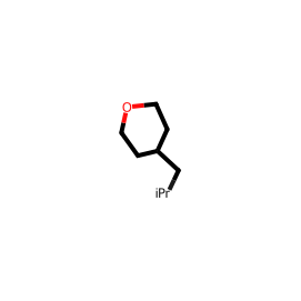 [CH2]C(C)CC1CCOCC1